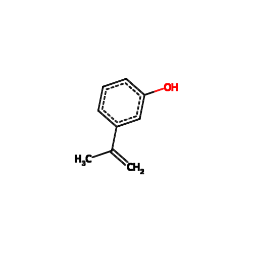 C=C(C)c1cccc(O)c1